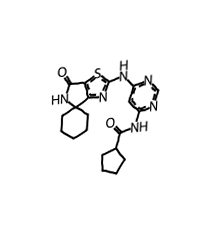 O=C1NC2(CCCCC2)c2nc(Nc3cc(NC(=O)C4CCCC4)ncn3)sc21